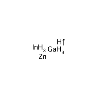 [GaH3].[Hf].[InH3].[Zn]